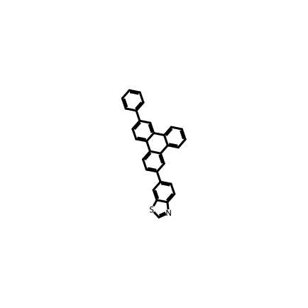 c1ccc(-c2ccc3c4ccc(-c5ccc6ncsc6c5)cc4c4ccccc4c3c2)cc1